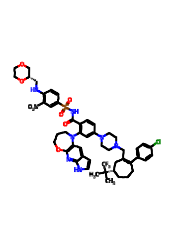 CC(C)([C@H]1CCCC(c2ccc(Cl)cc2)=C(CN2CCN(c3ccc(C(=O)NS(=O)(=O)c4ccc(NC[C@H]5COCCO5)c([N+](=O)[O-])c4)c(N4CCCOc5nc6[nH]ccc6cc54)c3)CC2)C1)C(F)(F)F